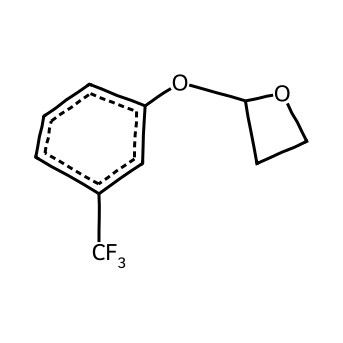 FC(F)(F)c1cccc(OC2CCO2)c1